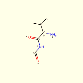 CC(C)[C@H](N)C(=O)NC=O